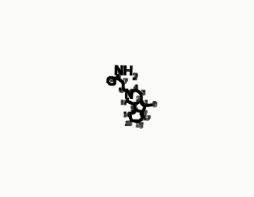 CC1=C2CCN(CCC(N)=O)CC2c2ccccc21